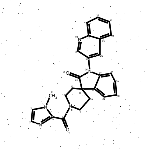 Cn1ccnc1C(=O)N1CCC2(CC1)C(=O)N(c1cnc3ccccc3c1)c1ccccc12